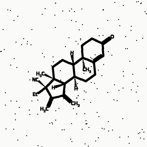 C=C1C(=C)[C@@](C#N)(CC)[C@@]2(C)CC[C@H]3[C@@H](CCC4=CC(=O)CC[C@@]43C)[C@H]12